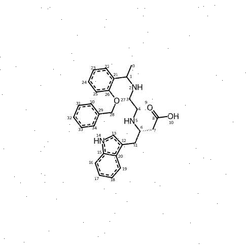 CC(NCCN[C@H](CC(=O)O)Cc1c[nH]c2ccccc12)c1ccccc1OCc1ccccc1